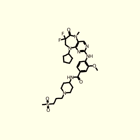 COc1cc(C(=O)NC2CCN(CCCS(C)(=O)=O)CC2)ccc1Nc1ncc2c(n1)N(C1CCCC1)CC(F)(F)C(=O)N2C